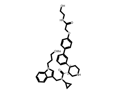 COCCCn1cc(CN(C(=O)[C@H]2CNCC[C@@H]2c2cccc(-c3ccc(OCC(=O)NCCO)cc3)c2)C2CC2)c2ccccc21